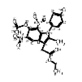 CCOC(=O)Cc1c(C)n(-c2ccc(Cl)cc2)c2c([N+](=O)[O-])c(OC(C)=O)c([N+](=O)[O-])cc12